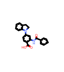 O=C(Nc1cc(N2CCc3ccccc32)ccc1C(=O)O)c1ccccc1